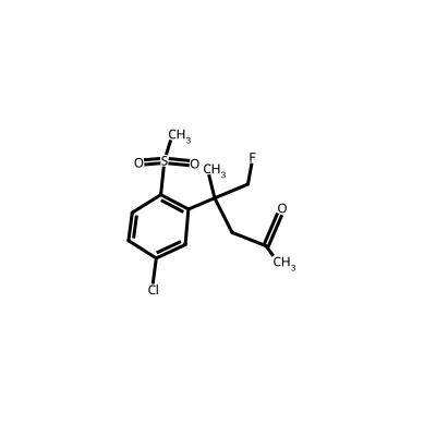 CC(=O)CC(C)(CF)c1cc(Cl)ccc1S(C)(=O)=O